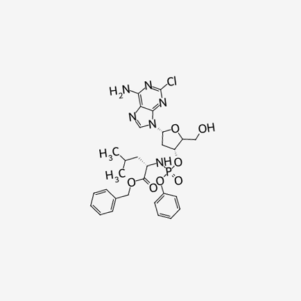 CC(C)C[C@H](NP(=O)(Oc1ccccc1)O[C@@H]1C[C@H](n2cnc3c(N)nc(Cl)nc32)OC1CO)C(=O)OCc1ccccc1